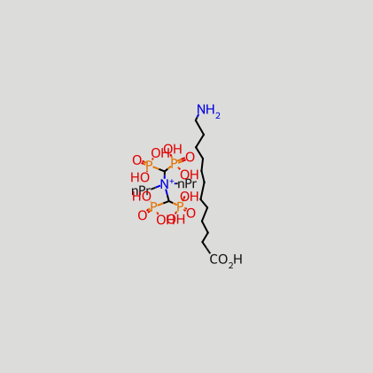 CCC[N+](CCC)(C(P(=O)(O)O)P(=O)(O)O)C(P(=O)(O)O)P(=O)(O)O.NCCCCCCCCCCCC(=O)O